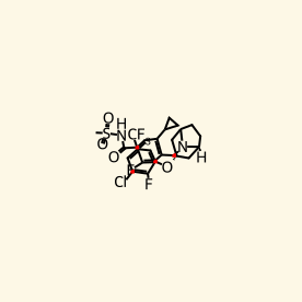 CS(=O)(=O)NC(=O)c1cc(C2CC2)c(CN2C3CC[C@@H]2C[C@H](Oc2cc(C(F)(F)F)cc(Cl)c2F)C3)cc1F